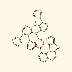 c1ccc(-c2cccc(N(c3ccc(-c4cccc5ccc6oc7ccccc7c6c45)cc3)c3cccc4c3oc3ccccc34)c2-c2ccccc2)cc1